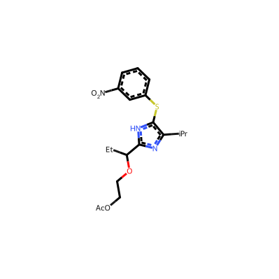 CCC(OCCOC(C)=O)c1nc(C(C)C)c(Sc2cccc([N+](=O)[O-])c2)[nH]1